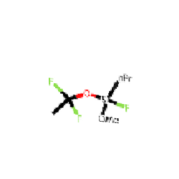 CCC[Si](F)(OC)OC(C)(F)F